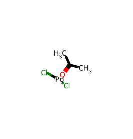 CC(C)=O.[Cl][Pd][Cl]